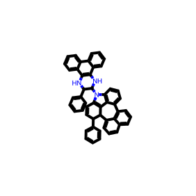 C1=CC(c2ccccc2)C2c3cccc4cccc(c34)-c3cccc4c3c2c1n4C1Nc2c(c3ccccc3c3ccccc23)NC1c1ccccc1